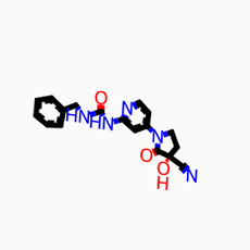 N#C[C@@]1(O)CCN(c2ccnc(NC(=O)NCc3ccccc3)c2)C1=O